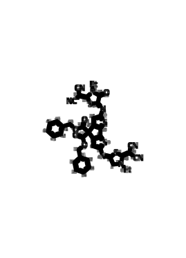 CCN1C/C(=N/c2cc3c(s2)-c2sc(/N=C4\SC(=C(C#N)C#N)N(CC)C4=O)cc2C3(C(=O)OCc2ccccc2)C(=O)OCc2ccccc2)SC1=C(C#N)C#N